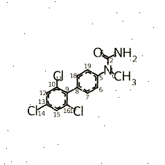 CN(C(N)=O)c1ccc(-c2c(Cl)cc(Cl)cc2Cl)cc1